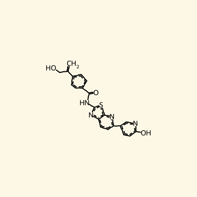 C=C(CO)c1ccc(C(=O)Nc2nc3ccc(-c4ccc(O)nc4)nc3s2)cc1